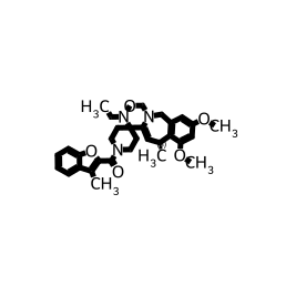 CCN1OCN2Cc3cc(OC)cc(OC)c3[C@@H](C)C=C2C12CCN(C(=O)c1oc3ccccc3c1C)CC2